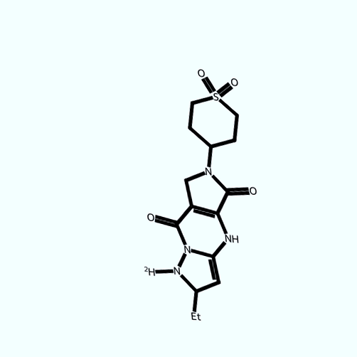 [2H]N1C(CC)C=C2NC3=C(CN(C4CCS(=O)(=O)CC4)C3=O)C(=O)N21